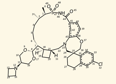 C[C@@H]1[C@@H](C)CCC[C@@H]([C@H]2OC[C@H](N3CCC3)CO2)[C@@H]2CC[C@H]2CN2C[C@@]3(CCCc4cc(Cl)ccc43)COc3ccc(cc32)C(=O)NS1(=O)=O